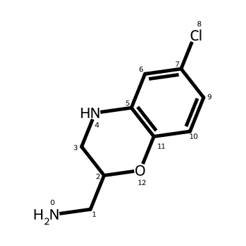 NCC1CNc2cc(Cl)ccc2O1